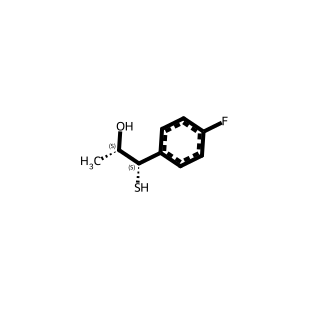 C[C@H](O)[C@@H](S)c1ccc(F)cc1